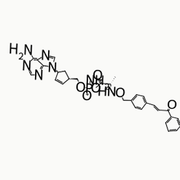 C[C@H](NOCc1ccc(C=CC(=O)c2ccccc2)cc1)C(=O)OP(N)(=O)OC[C@H]1C=C[C@@H](n2cnc3c(N)ncnc32)C1